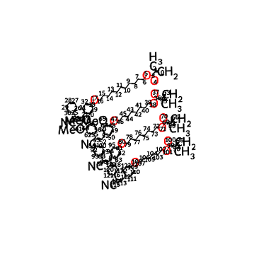 C=C(C)C(=O)OCCCCCCCCCCCOc1ccc(C=C(C#N)c2ccccc2)cc1.C=C(C)C(=O)OCCCCCCCCOc1ccc(C=C(C#N)c2ccc(OC)c(OC)c2)cc1OC.C=C(C)C(=O)OCCCCCCCCOc1ccc(C=C(C#N)c2ccccc2)cc1.C=C(C)C(=O)OCCCCCCOc1ccc(C=C(C#N)c2ccccc2)cc1